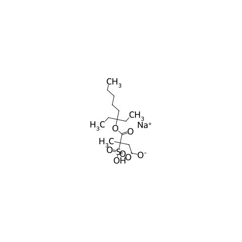 CCCCCC(CC)(CC)OC(=O)C(C)(CC(=O)[O-])S(=O)(=O)O.[Na+]